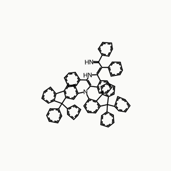 N=C(/C(=C1\NC(c2ccccc2)=C(N(c2ccc3c(c2)C(c2ccccc2)(c2ccccc2)c2ccccc2-3)c2cccc3c2-c2ccccc2C3(c2ccccc2)c2ccccc2)c2ccccc21)c1ccccc1)c1ccccc1